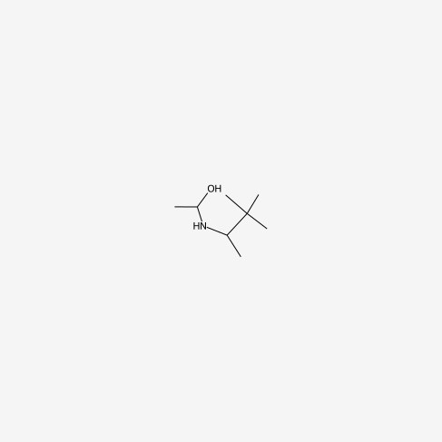 CC(O)NC(C)C(C)(C)C